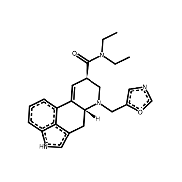 CCN(CC)C(=O)[C@@H]1C=C2c3cccc4[nH]cc(c34)C[C@H]2N(Cc2cnco2)C1